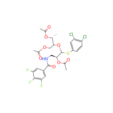 CC(=O)OCC(OC(Sc1ccc(Cl)c(Cl)c1)[C@H](CNC(=O)c1cc(F)c(F)c(F)c1)OC(C)=O)[C@@H](C)OC(C)=O